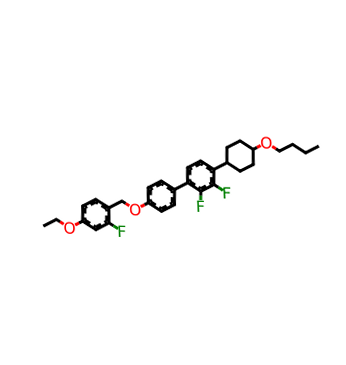 CCCCOC1CCC(c2ccc(-c3ccc(OCc4ccc(OCC)cc4F)cc3)c(F)c2F)CC1